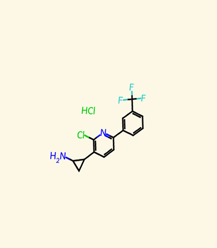 Cl.NC1CC1c1ccc(-c2cccc(C(F)(F)F)c2)nc1Cl